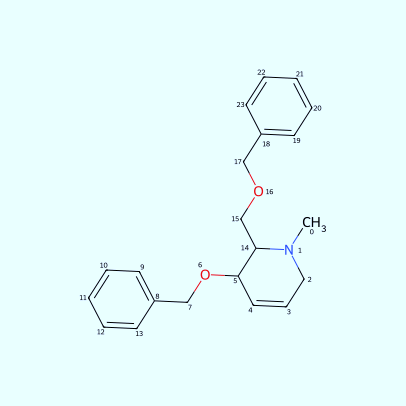 CN1CC=CC(OCc2ccccc2)C1COCc1ccccc1